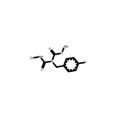 CCNC(=O)N(Cc1ccc(F)cc1)C(=O)OC(C)(C)C